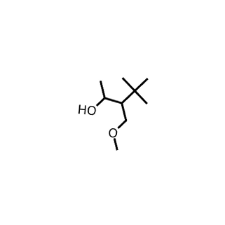 COCC(C(C)O)C(C)(C)C